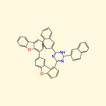 c1ccc2cc(C3=NC(c4cccc5oc6ccc(-c7cccc8c7oc7ccccc78)cc6c45)=NC(c4ccc5ccccc5c4)N3)ccc2c1